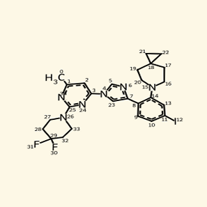 Cc1cc(-n2cnc(-c3ccc(I)cc3N3CCC4(CC3)CC4)c2)nc(N2CCC(F)(F)CC2)n1